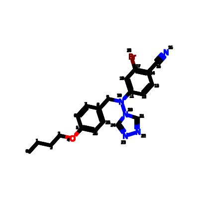 CCCCOc1ccc(CN(c2ccc(C#N)c(Br)c2)n2cnnc2)cc1